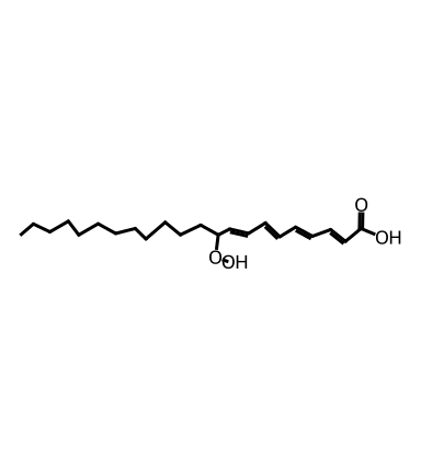 CCCCCCCCCCCCC(C=CC=CC=CC=CC(=O)O)OO